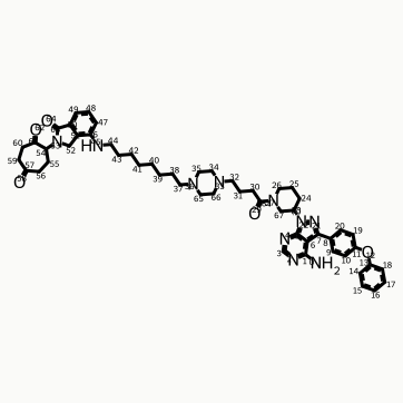 Nc1ncnc2c1c(-c1ccc(Oc3ccccc3)cc1)nn2[C@@H]1CCCN(C(=O)CCCN2CCN(CCCCCCCCNc3cccc4c3CN(C3CCC(=O)CCC3=O)C4=O)CC2)C1